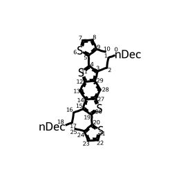 CCCCCCCCCCCCc1c(-c2sccc2C)sc2cc3c(CCCCCCCCCCCC)c(-c4sccc4C)sc3cc12